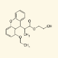 CCOc1cccc2c1C(C(C)C(=O)OCCO)c1ccccc1O2